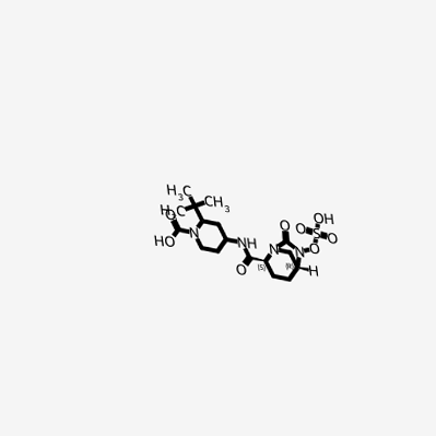 CC(C)(C)C1CC(NC(=O)[C@@H]2CC[C@@H]3CN2C(=O)N3OS(=O)(=O)O)CCN1C(=O)O